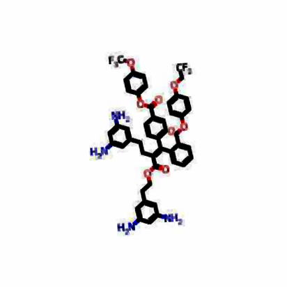 Nc1cc(N)cc(CCOC(=O)/C(CCc2cc(N)cc(N)c2)=C(/c2ccc(C(=O)Oc3ccc(OC(F)(F)F)cc3)cc2)c2ccccc2C(=O)Oc2ccc(OCC(F)(F)F)cc2)c1